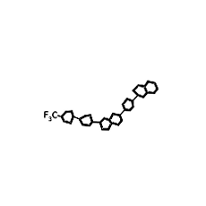 FC(F)(F)c1ccc(-c2ccc(-c3ccc4ccc(-c5ccc(-c6ccc7ccccc7c6)cc5)cc4c3)cc2)cc1